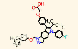 CC(C)c1c(-c2ccc(OCC(=O)O)cc2)c2cc3c(cnn3COCC[Si](C)(C)C)cc2n1-c1ccc(F)cc1